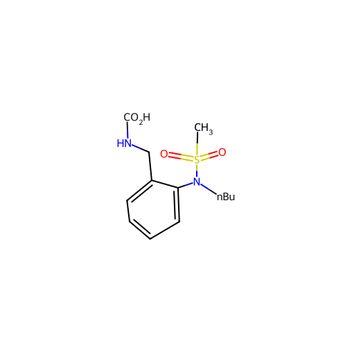 CCCCN(c1ccccc1CNC(=O)O)S(C)(=O)=O